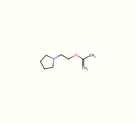 C=C(C)OCCN1CCCC1